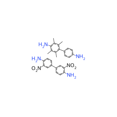 Cc1c(C)c(-c2ccc(N)cc2)c(C)c(C)c1N.Nc1ccc(-c2ccc(N)c([N+](=O)[O-])c2)cc1[N+](=O)[O-]